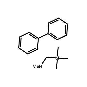 CNC[Si](C)(C)C.c1ccc(-c2ccccc2)cc1